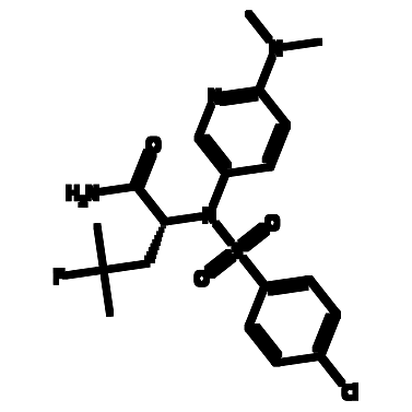 CN(C)c1ccc(N([C@H](CC(C)(C)F)C(N)=O)S(=O)(=O)c2ccc(Cl)cc2)cn1